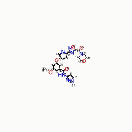 CC(C)Oc1cc(Oc2ccc(-c3noc(C(=O)N4CCOCC4)n3)nc2)cc(C(=O)Nc2ccn(C)n2)c1